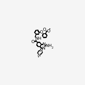 COC(=O)c1ccccc1Oc1cccc(CNC(=O)c2ccc3c(N4CCN(C)CC4)nc(N)nc3c2)c1